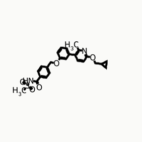 Cc1nc(OCC2CC2)ccc1-c1cccc(OCc2ccc(C(=O)NS(C)(=O)=O)cc2)c1